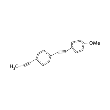 CC#Cc1ccc(C#Cc2ccc(OC)cc2)cc1